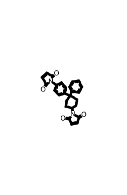 O=C1C=CC(=O)N1c1ccc(C2(c3ccccc3)CCC(N3C(=O)C=CC3=O)CC2)cc1